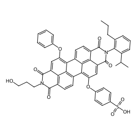 CCCc1cccc(C(C)C)c1N1C(=O)c2ccc3c4c(Oc5ccccc5)cc5c6c(ccc(c7c(Oc8ccc(S(=O)(=O)O)cc8)cc(c2c37)C1=O)c64)C(=O)N(CCCO)C5=O